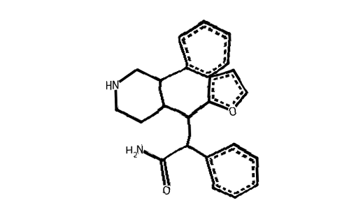 NC(=O)C(c1ccccc1)C(c1ccco1)C1CCNCC1c1ccccc1